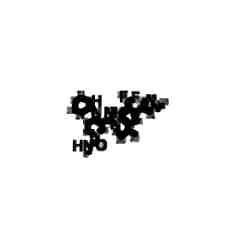 CNC(=O)N1CCC(NC2CCCCC2)=C(C(=N)N2CCC(C)c3cc(-c4cnn(C)c4)c(C(F)F)cc32)C1